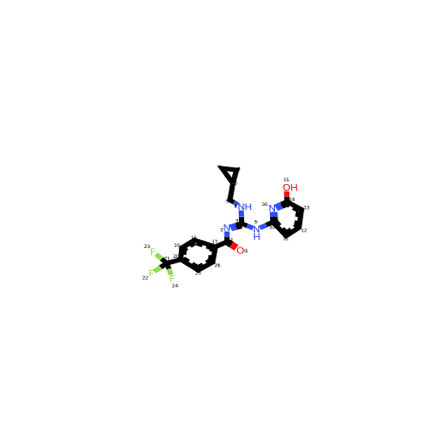 O=C(/N=C(/NCC1CC1)Nc1cccc(O)n1)c1ccc(C(F)(F)F)cc1